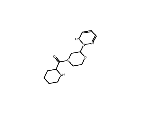 O=C(C1CCCCN1)N1CCOC(N2N=CC=CN2)C1